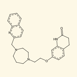 O=C1CCc2ccc(OCCN3CCCN(Cc4ccc5ccccc5n4)CC3)cc2N1